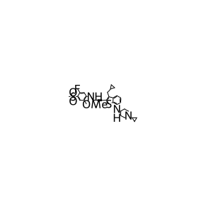 COc1cc(S(C)(=O)=O)c(F)cc1NCC#Cc1sc2c(NC3CCN(C4CC4)CC3)cccc2c1CC1CC1